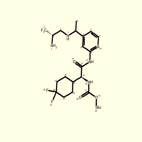 CC(NC[C@H](N)C(F)(F)F)c1ccnc(NC(=O)[C@@H](NC(=O)OC(C)(C)C)C2CCC(F)(F)CC2)c1